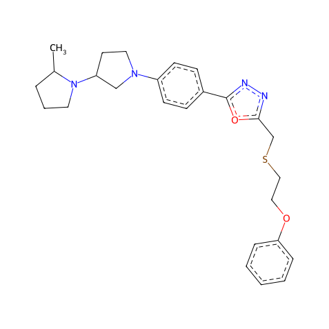 CC1CCCN1C1CCN(c2ccc(-c3nnc(CSCCOc4ccccc4)o3)cc2)C1